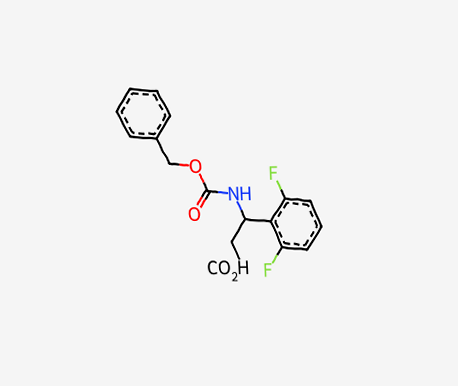 O=C(O)CC(NC(=O)OCc1ccccc1)c1c(F)cccc1F